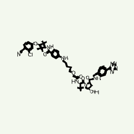 CC(C)(C)[C@H](NC(=O)COCCCCCNc1ccc(C(=O)N[C@H]2C(C)(C)[C@H](Oc3ccc(C#N)c(Cl)c3)C2(C)C)cc1)C(=O)N1C[C@H](O)CC1C(=O)NCc1ccc(C2N=NN=N2)cc1